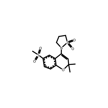 CC1(C)C=C(N2CCCS2(=O)=O)c2cc(S(C)(=O)=O)ccc2O1